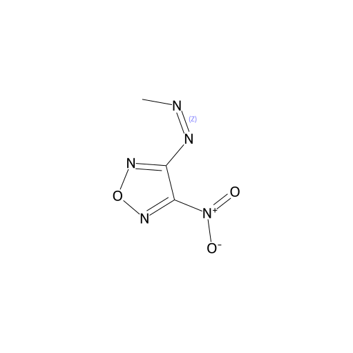 C/N=N\c1nonc1[N+](=O)[O-]